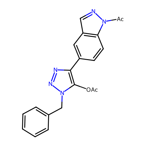 CC(=O)Oc1c(-c2ccc3c(cnn3C(C)=O)c2)nnn1Cc1ccccc1